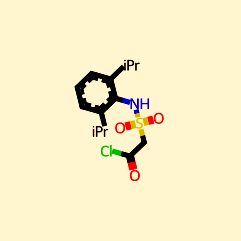 CC(C)c1cccc(C(C)C)c1NS(=O)(=O)CC(=O)Cl